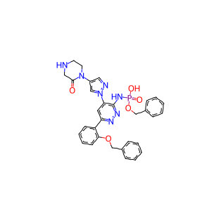 O=C1CNCCN1c1cnn(-c2cc(-c3ccccc3OCc3ccccc3)nnc2NP(=O)(O)OCc2ccccc2)c1